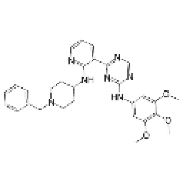 COc1cc(Nc2ncnc(-c3cccnc3NC3CCN(Cc4ccccc4)CC3)n2)cc(OC)c1OC